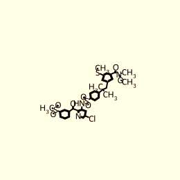 CON(C)C(=O)c1cc(CC(C)(C)c2ccc(S(=O)(=O)Nc3cc(Cl)cnc3C(=O)c3cccc(S(C)(=O)=O)c3)cc2)cc(SC)c1